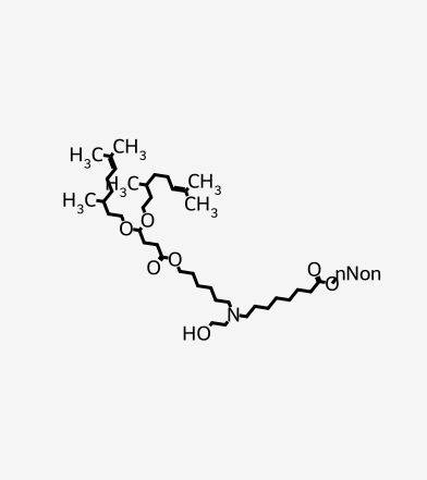 CCCCCCCCCOC(=O)CCCCCCCN(CCO)CCCCCCOC(=O)CCC(OCCC(C)CCC=C(C)C)OCCC(C)CCC=C(C)C